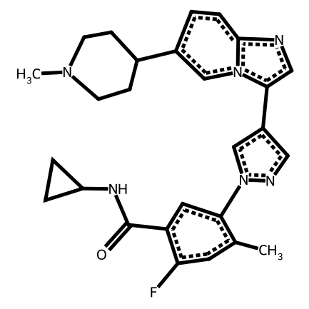 Cc1cc(F)c(C(=O)NC2CC2)cc1-n1cc(-c2cnc3ccc(C4CCN(C)CC4)cn23)cn1